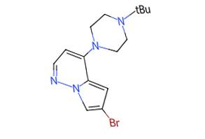 CC(C)(C)N1CCN(c2ccnn3cc(Br)cc23)CC1